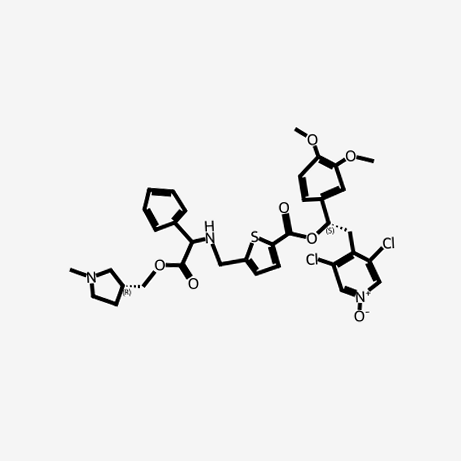 COc1ccc([C@H](Cc2c(Cl)c[n+]([O-])cc2Cl)OC(=O)c2ccc(CNC(C(=O)OC[C@@H]3CCN(C)C3)c3ccccc3)s2)cc1OC